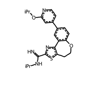 CC(C)NC(=N)c1nc2c(s1)CCOc1ccc(-c3ccnc(OC(C)C)c3)cc1-2